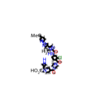 COc1ccc(-n2cc(-c3cnc(C(=O)Nc4ccc(C(=O)N5CCN(C(=O)C6CC[N+](CC(=O)O)(CC7CNC7)CC6)CC5)c(Cl)c4)n3C)c(C(F)(F)F)n2)nc1